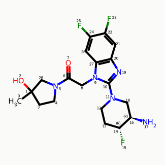 CC1(O)CCN(C(=O)Cn2c(N3CC[C@@H](F)[C@H](N)C3)nc3cc(F)c(F)cc32)C1